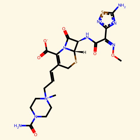 CO/N=C(\C(=O)N[C@@H]1C(=O)N2C(C(=O)[O-])=C(/C=C/C[N+]3(C)CCN(C(N)=O)CC3)CS[C@@H]12)c1nsc(N)n1